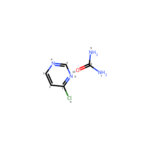 Clc1ccncn1.NC(N)=O